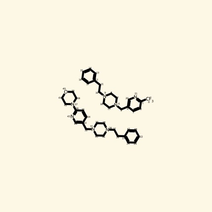 FC(F)(F)c1ccc(CN2CCN(CCc3ccccc3)CC2)cn1.c1ccc(CCN2CCN(Cc3ccc(N4CCOCC4)nc3)CC2)cc1